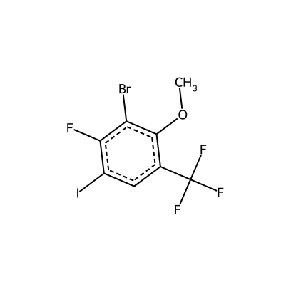 COc1c(C(F)(F)F)cc(I)c(F)c1Br